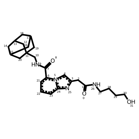 O=C(Cc1cn2c(C(=O)NCC34CC5CC(CC(C5)C3)C4)cccc2n1)NCCCCO